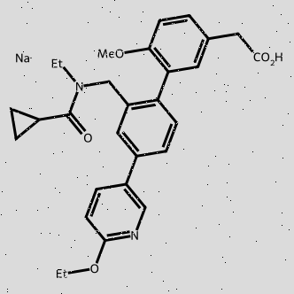 CCOc1ccc(-c2ccc(-c3cc(CC(=O)O)ccc3OC)c(CN(CC)C(=O)C3CC3)c2)cn1.[Na]